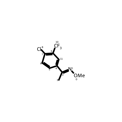 CON=C(C)c1ccc(Cl)c(C(F)(F)F)c1